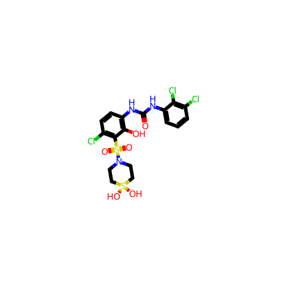 O=C(Nc1ccc(Cl)c(S(=O)(=O)N2CCS(O)(O)CC2)c1O)Nc1cccc(Cl)c1Cl